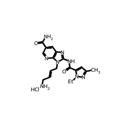 CCn1nc(C)cc1C(=O)Nc1nc2cc(C(N)=O)cnc2n1CC=CCN.Cl